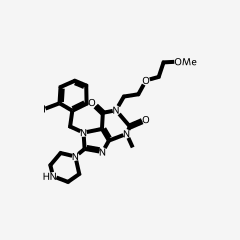 COCCOCCn1c(=O)c2c(nc(N3CCNCC3)n2Cc2ccccc2I)n(C)c1=O